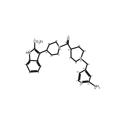 CCOC(=O)c1[nH]c2ccccc2c1C1CCN(C(=O)C2CCN(Cc3ccnc(N)c3)CC2)CC1